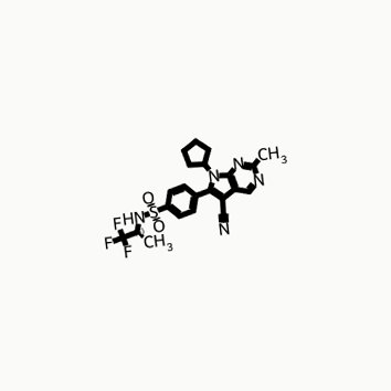 Cc1ncc2c(C#N)c(-c3ccc(S(=O)(=O)N[C@@H](C)C(F)(F)F)cc3)n(C3CCCC3)c2n1